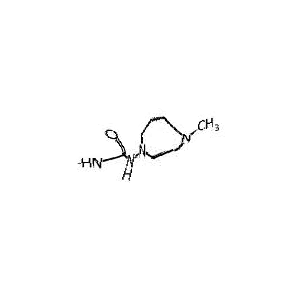 CN1CCN(NC([NH])=O)CC1